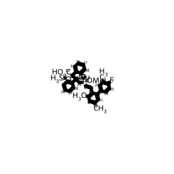 COP(=O)(C=Cc1c(C)cc(C)cc1-c1ccc(F)c(C)c1)CC(c1ccccc1)(C(C)(C)C)[C@](O[SiH3])(C(=O)O)c1ccccc1